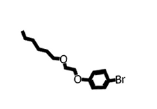 CCCCCCOCCOc1ccc(Br)cc1